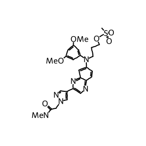 CNC(=O)Cn1cc(-c2cnc3ccc(N(CCCOS(C)(=O)=O)c4cc(OC)cc(OC)c4)cc3n2)cn1